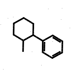 CC1CCCCC1c1ccccc1